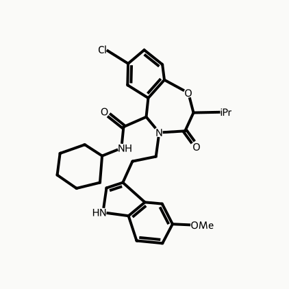 COc1ccc2[nH]cc(CCN3C(=O)C(C(C)C)Oc4ccc(Cl)cc4C3C(=O)NC3CCCCC3)c2c1